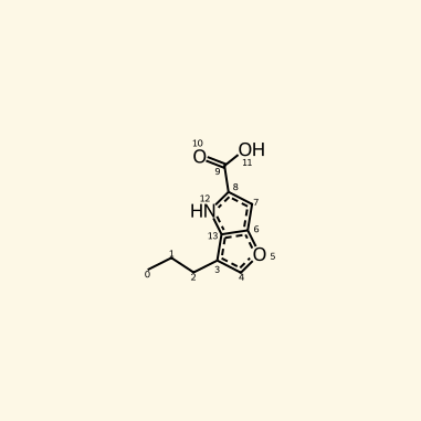 CCCc1coc2cc(C(=O)O)[nH]c12